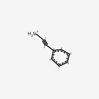 [SiH2]C#Cc1ccccc1